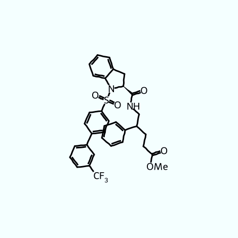 COC(=O)CCC(CNC(=O)[C@@H]1Cc2ccccc2N1S(=O)(=O)c1ccc(-c2cccc(C(F)(F)F)c2)cc1)c1ccccc1